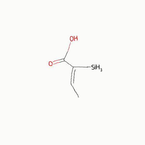 CC=C([SiH3])C(=O)O